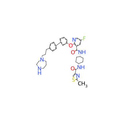 Cc1nc(C(=O)N[C@H]2CC[C@@H](NC(=O)c3cc(F)cnc3Oc3cccc(-c4ccc(CCCN5CCCNCC5)cc4)c3)CC2)cs1